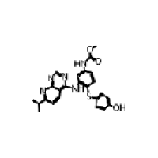 COC(=O)Nc1ccc(Sc2ccc(O)cc2)c(Nc2ncnc3nc(C(C)C)ccc23)c1